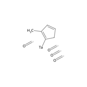 CC1=[C]([Ta])CC=C1.[C]=O.[C]=O.[C]=O.[C]=O